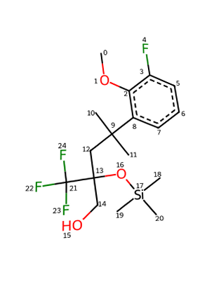 COc1c(F)cccc1C(C)(C)CC(CO)(O[Si](C)(C)C)C(F)(F)F